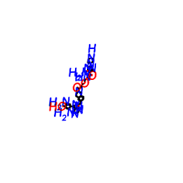 Nc1cc(-c2nn(Cc3ccc4c(c3)CCN(C(=O)CCOCCNC(=O)c3cnc(N5CCNCC5)nc3N)C4)c3ncnc(N)c23)ccc1O